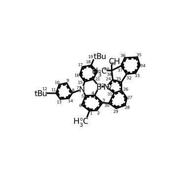 Cc1cc2c3c(c1)N(c1ccc(C(C)(C)C)cc1)c1ccc(C(C)(C)C)cc1B3n1c3c(c4cccc-2c41)-c1ccccc1C3(C)C